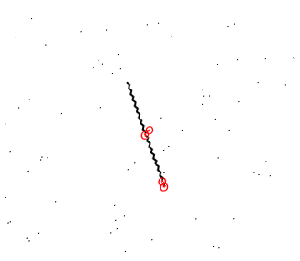 CCCCCCCCCCCCCCCCCC(=O)OCCCCCCCCCCCCCCCOC=O